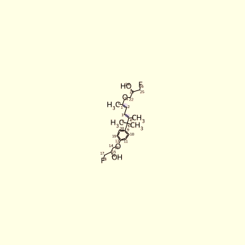 C/C(=C\C=C(/C)C(C)(C)c1ccc(OCC(O)CF)cc1)OCC(O)CF